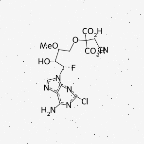 CO[C@H](COC(CC#N)(C(=O)O)C(=O)O)[C@@H](O)[C@H](F)n1cnc2c(N)nc(Cl)nc21